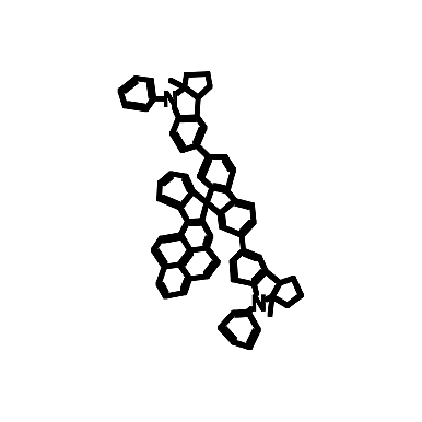 CC12CCCC1c1cc(-c3ccc4c(c3)C3(c5cc(-c6ccc7c(c6)C6CCCC6(C)N7c6ccccc6)ccc5-4)c4ccccc4-c4c3cc3ccc5cccc6ccc4c3c56)ccc1N2c1ccccc1